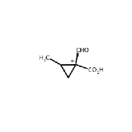 CC1C[C@@]1(C=O)C(=O)O